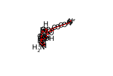 [N-]=[N+]=NCCCOCCOCCOCCOc1ccc(C(=O)Oc2ccc(CSP(=O)(O)OC[C@H]3O[C@@H](n4cnc5c(N)ncnc54)[C@H](F)[C@@H]3OP(=O)(O)OC[C@@H]3C[C@@H](F)[C@H](n4ccc(=O)[nH]c4=O)O3)cc2)cc1